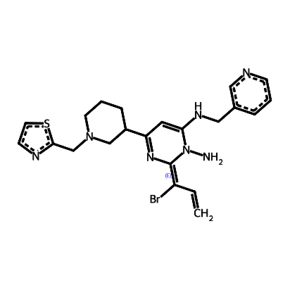 C=C/C(Br)=C1/N=C(C2CCCN(Cc3nccs3)C2)C=C(NCc2cccnc2)N1N